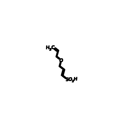 C=CCOCC=CS(=O)(=O)O